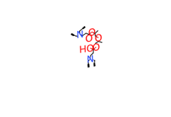 C#CCN(CC#C)CCC(=O)OC(C)COC(C)COC(O)CCN(CC#C)CC#C